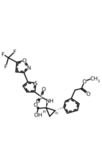 COC(=O)Cc1cccc([C@@H]2C[C@]2(NS(=O)(=O)c2ccc(-c3cc(C(F)(F)F)on3)s2)C(=O)O)c1